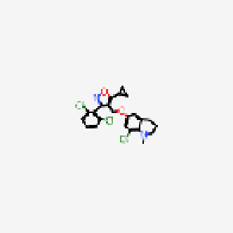 CN1CCCc2cc(OCc3c(-c4c(Cl)cccc4Cl)noc3C3CC3)cc(Cl)c21